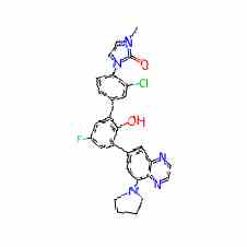 Cn1ccn(-c2ccc(-c3cc(F)cc(-c4cc(N5CCCC5)c5nccnc5c4)c3O)cc2Cl)c1=O